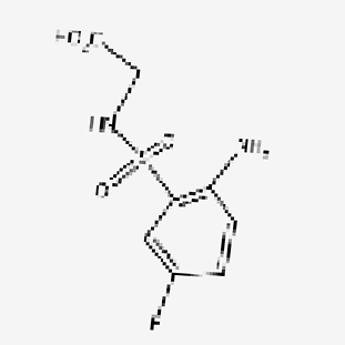 Nc1ccc(F)cc1S(=O)(=O)NCC(=O)O